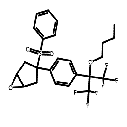 CCCCOC(c1ccc(C2(S(=O)(=O)c3ccccc3)CC3OC3C2)cc1)(C(F)(F)F)C(F)(F)F